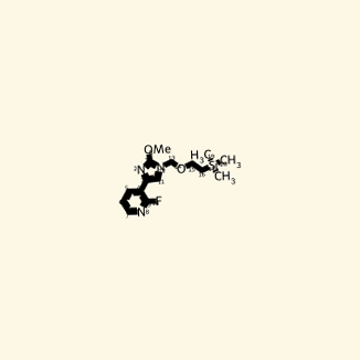 COc1nc(-c2cccnc2F)cn1COCC[Si](C)(C)C